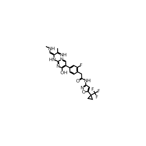 CN/C=C(/Nc1ncc(-c2ccc(CC(=O)Nc3cc(C4(C(F)(F)F)CC4)on3)c(F)c2)c(O)n1)C(C)=N